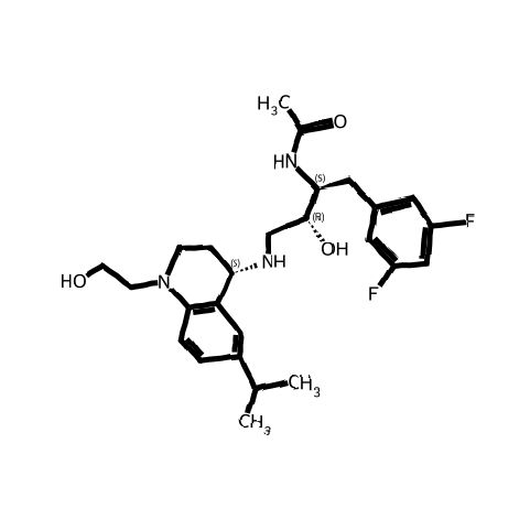 CC(=O)N[C@@H](Cc1cc(F)cc(F)c1)[C@H](O)CN[C@H]1CCN(CCO)c2ccc(C(C)C)cc21